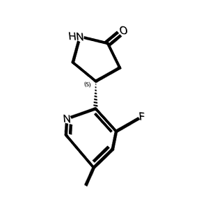 Cc1cnc([C@@H]2CNC(=O)C2)c(F)c1